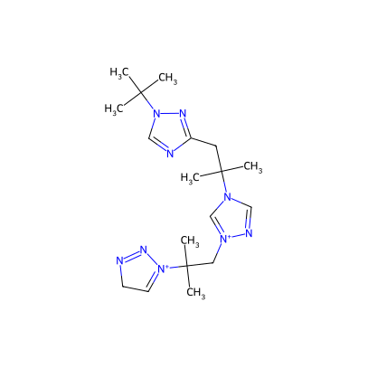 CC(C)(C)n1cnc(CC(C)(C)n2cn[n+](CC(C)(C)[N+]3=CCN=N3)c2)n1